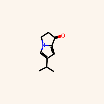 CC(C)c1cc2n(c1)CCC2=O